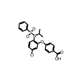 CC(C)N(c1ccc(Cl)cc1Oc1ccc(C(=O)O)cc1)S(=O)(=O)c1ccccc1